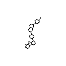 Fc1ccc(-c2ccc3ccc(-c4ccc(-c5cccc6c5sc5ncccc56)cc4)cc3c2)cc1